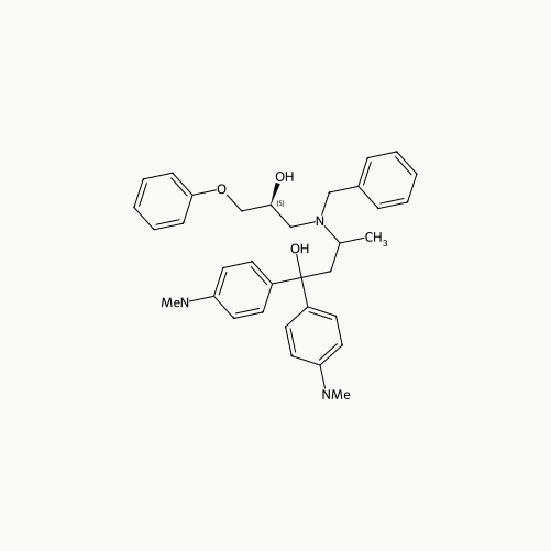 CNc1ccc(C(O)(CC(C)N(Cc2ccccc2)C[C@H](O)COc2ccccc2)c2ccc(NC)cc2)cc1